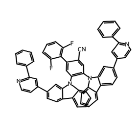 N#Cc1cc(-n2c3ccccc3c3ccc(-c4ccnc(-c5ccccc5)c4)cc32)c(-n2c3ccccc3c3ccc(-c4ccnc(-c5ccccc5)c4)cc32)cc1-c1c(F)cccc1F